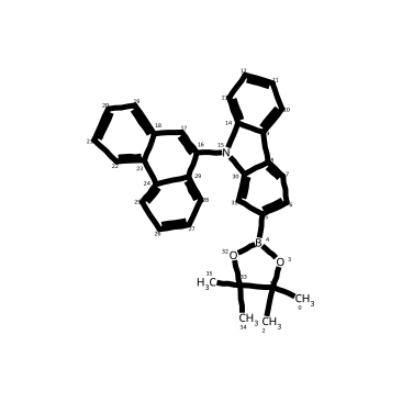 CC1(C)OB(c2ccc3c4ccccc4n(-c4cc5ccccc5c5ccccc45)c3c2)OC1(C)C